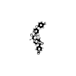 C[C@H](C(=O)Nc1ccc(Oc2ccc(F)cc2)cn1)N1CCN(C(=O)c2cc[n+]([O-])cc2)C(C)(C)C1